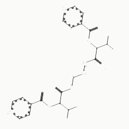 CC(C)C(NC(=O)c1ccncc1)C(=O)NCNNC(=O)C(NC(=O)c1ccncc1)C(C)C